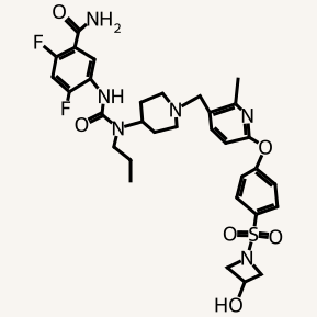 CCCN(C(=O)Nc1cc(C(N)=O)c(F)cc1F)C1CCN(Cc2ccc(Oc3ccc(S(=O)(=O)N4CC(O)C4)cc3)nc2C)CC1